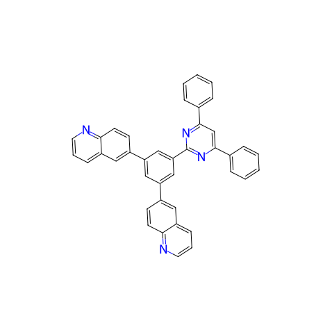 c1ccc(-c2cc(-c3ccccc3)nc(-c3cc(-c4ccc5ncccc5c4)cc(-c4ccc5ncccc5c4)c3)n2)cc1